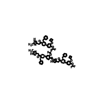 COc1ccc(N2CCN(C(=O)Cc3n[nH]c(C)n3)[C@@H](Cc3ccccc3)C2)cc1OC(F)F.Cc1nc(CC(=O)N2CCN(c3ccc(OC(F)F)c(OC4CCC4)c3)C[C@@H]2Cc2ccccc2)n[nH]1.O=C(Cc1c[nH]cn1)N1CCN(c2ccc(OC(F)F)c(OC3CCC3)c2)C[C@@H]1Cc1ccccc1